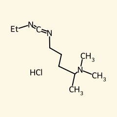 CCN=C=NCCCC(C)N(C)C.Cl